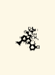 CN1C(=N)N[C@](C)(c2ccnc(-c3cccc(Cl)c3F)c2)[C@H](c2ccc(C3CC3)cc2)C1=O